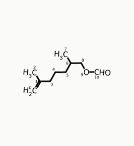 C=C(C)CCCC(C)COC=O